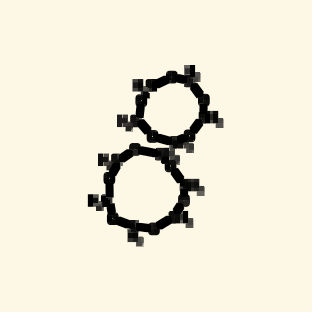 O1[SiH2]O[SiH2]O[SiH2]O[SiH2]O[SiH2]1.O1[SiH2]O[SiH2]O[SiH2]O[SiH2]O[SiH2]O[SiH2]1